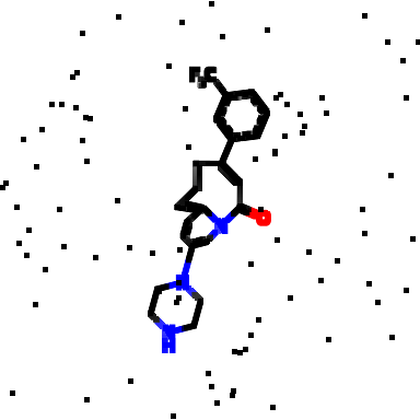 O=C1\C=C(c2cccc(C(F)(F)F)c2)/C=C/C=C2\C=CC(N3CCNCC3)=CN12